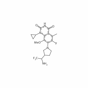 COc1c(N2CCC(C(N)C(F)(F)F)C2)c(F)c(C)c2c(=O)[nH]c(=O)n(C3CC3)c12